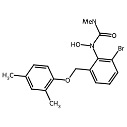 CNC(=O)N(O)c1c(Br)cccc1COc1ccc(C)cc1C